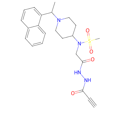 C#CC(=O)NNC(=O)CN(C1CCN(C(C)c2cccc3ccccc23)CC1)S(C)(=O)=O